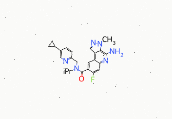 CC(C)N(Cc1ccc(C2CC2)cn1)C(=O)c1cc2c(cc1F)nc(N)c1c2cnn1C